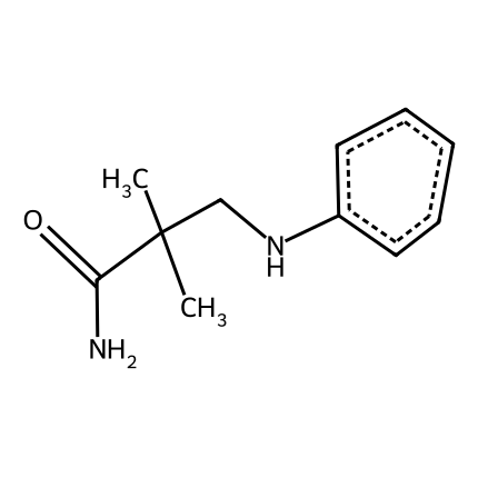 CC(C)(CNc1ccccc1)C(N)=O